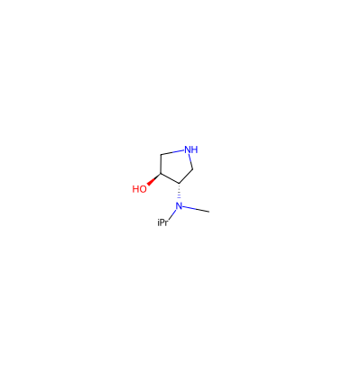 CC(C)N(C)[C@H]1CNC[C@@H]1O